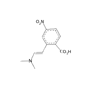 CN(C)C=Cc1cc([N+](=O)[O-])ccc1C(=O)O